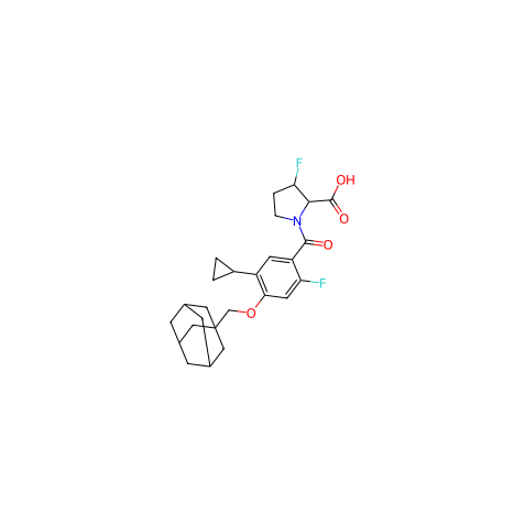 O=C(O)C1C(F)CCN1C(=O)c1cc(C2CC2)c(OCC23CC4CC(CC(C4)C2)C3)cc1F